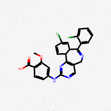 COc1cc(Nc2ncc3c(n2)C2C=CC(Cl)=CC2C(c2ccccc2F)=NC3)ccc1C(=O)O